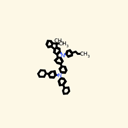 CCCc1ccc(-n2c3cc(-c4cccc(N(c5ccc(C6CCCCC6)cc5)c5ccc(C6CCCCC6)cc5)c4)ccc3c3cc4c(cc32)C(C)(C)c2ccccc2-4)cc1